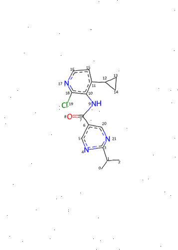 CC(C)c1ncc(C(=O)Nc2c(C3CC3)ccnc2Cl)cn1